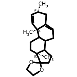 C[C@H]1C=C[C@@]2(C)C(=CCC3C2CC[C@@]2(C)C3CCC23OCCO3)C1